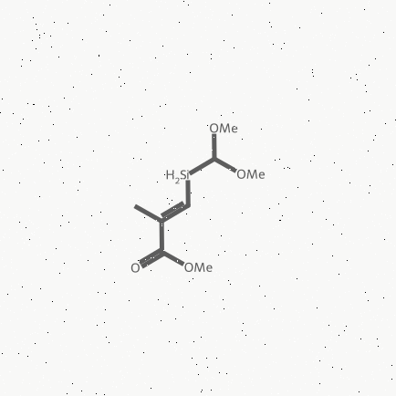 COC(=O)C(C)=C[SiH2]C(OC)OC